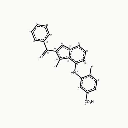 Cc1ccc(C(=O)O)cc1Nc1ncnn2cc(C(=O)c3ccccc3)c(C)c12